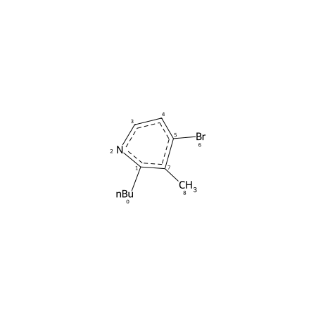 CCCCc1nccc(Br)c1C